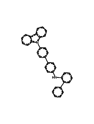 c1ccc(-c2ccccc2Nc2ccc(-c3ccc(-n4c5ccccc5c5ccccc54)cc3)cc2)cc1